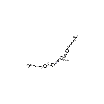 C=CC(=O)OCCCCCCOc1ccc(COOc2ccc(/C=N/N=C/c3ccc(OC(=O)c4ccc(OCCCCCCOC(=O)C=C)cc4)cc3)cc2OC)cc1